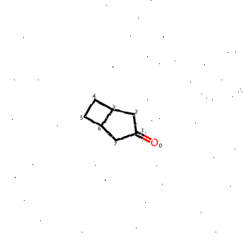 O=C1CC2CCC2C1